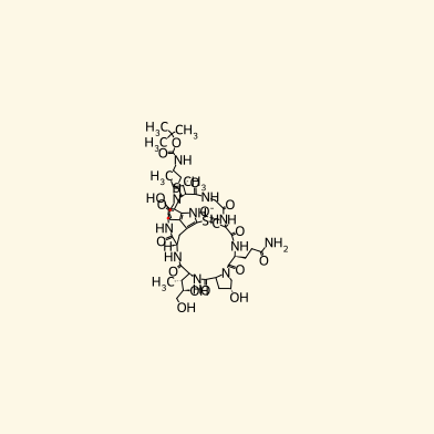 CC[C@H](C)[C@@H]1NC(=O)CNC(=O)[C@@H]2Cc3c([nH]c4c(CSCCNC(=O)OC(C)(C)C)c(O)ccc34)[S+]([O-])C[C@H](NC(=O)CNC1=O)C(=O)N[C@@H](CCC(N)=O)C(=O)N1C[C@H](O)CC1C(=O)N[C@@H]([C@@H](C)[C@@H](O)CO)C(=O)N2